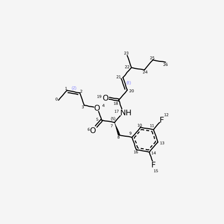 C/C=C\COC(=O)[C@H](Cc1cc(F)cc(F)c1)NC(=O)/C=C/C(C)CCC